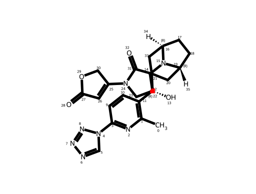 Cc1nc(-n2cnnn2)ccc1[C@@H](O)CN1[C@@H]2CC[C@@H]1CC1(CCN(C3=CC(=O)OC3)C1=O)C2